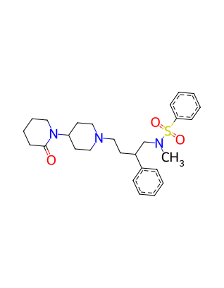 CN(CC(CCN1CCC(N2CCCCC2=O)CC1)c1ccccc1)S(=O)(=O)c1ccccc1